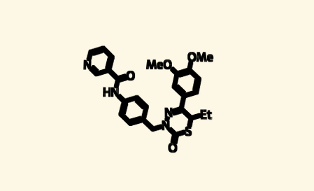 CCC1SC(=O)N(Cc2ccc(NC(=O)c3cccnc3)cc2)N=C1c1ccc(OC)c(OC)c1